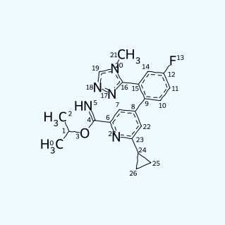 CC(C)OC(=N)c1cc(-c2ccc(F)cc2-c2nncn2C)cc(C2CC2)n1